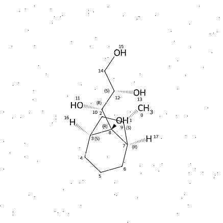 C[C@H]1C[C@@H]2CCC[C@H]1[C@@]2(O)[C@H](O)[C@@H](O)CO